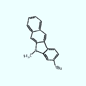 Cn1c2cc(C(C)(C)C)ccc2c2cc3ccccc3cc21